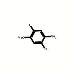 CCc1cc(OC)c(F)cc1N